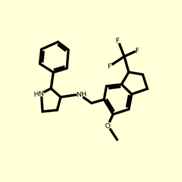 COc1cc2c(cc1CNC1CCNC1c1ccccc1)C(C(F)(F)F)CC2